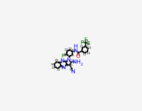 N#Cc1c(N)n(-c2cc(NC(=O)c3cccc(C(F)(F)F)c3)ccc2F)c2nc3ccccc3nc12